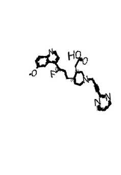 COc1ccc2nccc([C@H](F)CC[C@@H]3CCN(CC#Cc4ncccn4)C[C@@H]3CC(=O)O)c2c1